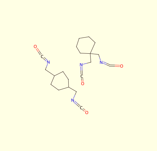 O=C=NCC1(CN=C=O)CCCCC1.O=C=NCC1CCC(CN=C=O)CC1